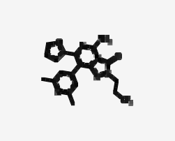 Cc1cc(-c2c(-c3ccco3)nc(N)n3c(=O)n(CCC(F)(F)F)nc23)cc(C)n1